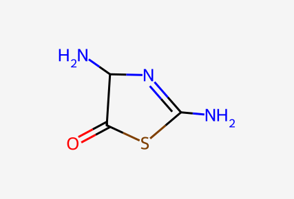 NC1=NC(N)C(=O)S1